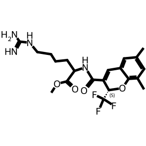 COC(=O)C(CCCCNC(=N)N)NC(=O)C1=Cc2cc(C)cc(C)c2O[C@@H]1C(F)(F)F